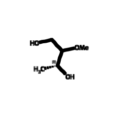 COC(CO)[C@@H](C)O